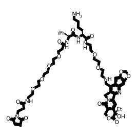 CC[C@@]1(O)C(=O)OCc2c1cc1n(c2=O)Cc2c-1nc1cc3c(cc1c2CNCCOCCOCCNC(=O)[C@H](CCCCN)NC(=O)[C@@H](NC(=O)CCOCCOCCOCCOCCNC(=O)CCN1C(=O)C=CC1=O)C(C)C)OCO3